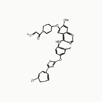 C=CC(=O)N1CCC(Oc2cc3c(Nc4ccc(Oc5nc(C6=C/C=C(/CC)CC/C=C\6)cs5)cc4F)ncnc3cc2OC)CC1